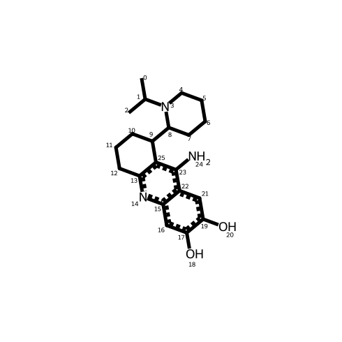 CC(C)N1CCCCC1C1CCCc2nc3cc(O)c(O)cc3c(N)c21